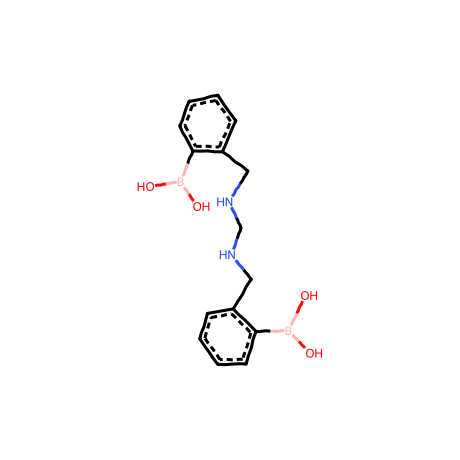 OB(O)c1ccccc1CNCNCc1ccccc1B(O)O